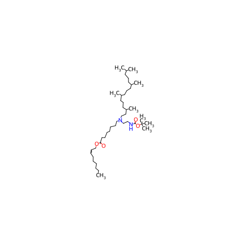 CCCCCC/C=C\COC(=O)CCCCCCCN(CCNC(=O)OC(C)(C)C)CCC(C)CCCC(C)CCCC(C)CCCC(C)C